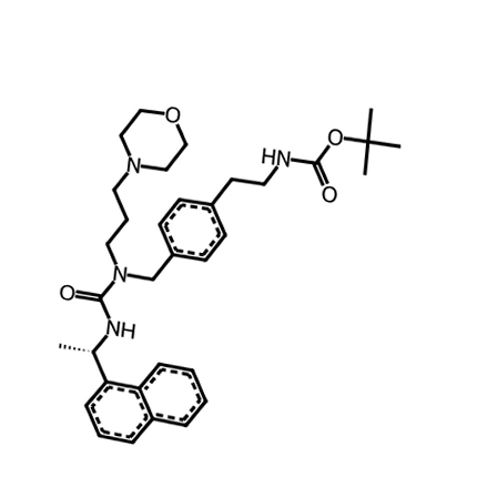 C[C@H](NC(=O)N(CCCN1CCOCC1)Cc1ccc(CCNC(=O)OC(C)(C)C)cc1)c1cccc2ccccc12